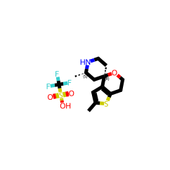 Cc1cc2c(s1)CCO[C@@]21CCN[C@@H](C)C1.O=S(=O)(O)C(F)(F)F